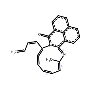 C=C/C=C\C1=C=C\C=C/C=C(C)/N=c2/c3cccc4cccc(c(=O)n21)c43